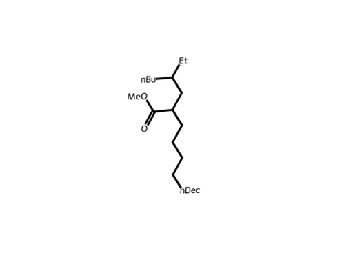 CCCCCCCCCCCCCCC(CC(CC)CCCC)C(=O)OC